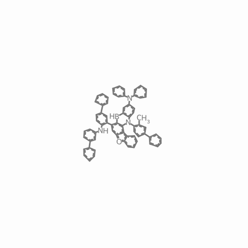 Cc1cc(-c2ccccc2)ccc1N1c2ccc(N(c3ccccc3)c3ccccc3)cc2Bc2c(-c3cc(-c4ccccc4)ccc3Nc3cccc(-c4ccccc4)c3)cc3oc4ccccc4c3c21